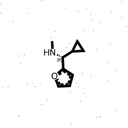 CN[C@@H](c1ccco1)C1CC1